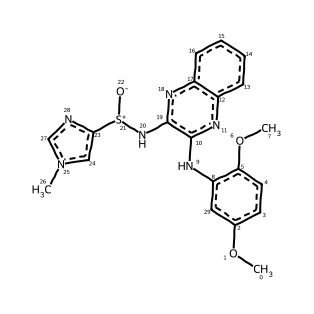 COc1ccc(OC)c(Nc2nc3ccccc3nc2N[S+]([O-])c2cn(C)cn2)c1